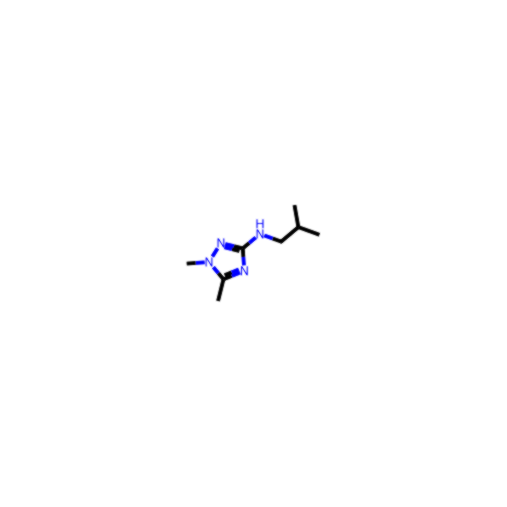 Cc1nc(NCC(C)C)nn1C